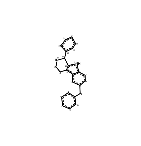 c1ccc(Cc2ccc3[nH]c4c(c3c2)CCNC4c2ccccc2)cc1